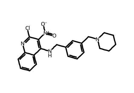 O=[N+]([O-])c1c(Cl)nc2ccccc2c1NCc1cccc(CN2CCCCC2)c1